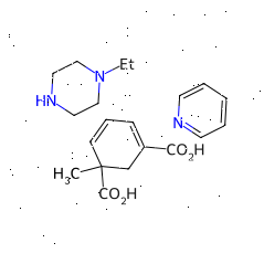 CC1(C(=O)O)C=CC=C(C(=O)O)C1.CCN1CCNCC1.c1ccncc1